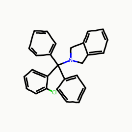 Clc1ccccc1C(c1ccccc1)(c1ccccc1)N1Cc2ccccc2C1